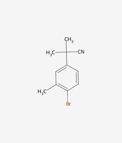 Cc1cc(C(C)(C)C#N)ccc1Br